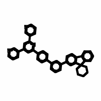 c1cncc(-c2cc(-c3ccc(-c4cccc(-c5ccc6c(c5)C5(CCCCC5)c5ccccc5-6)c4)cc3)nc(-c3cccnc3)c2)c1